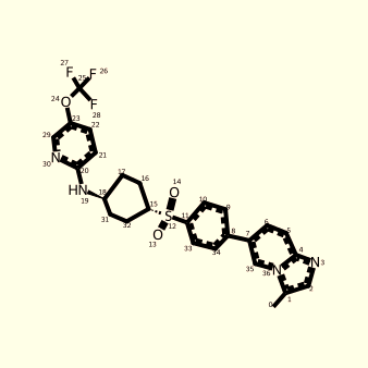 Cc1cnc2ccc(-c3ccc(S(=O)(=O)[C@H]4CC[C@H](Nc5ccc(OC(F)(F)F)cn5)CC4)cc3)cn12